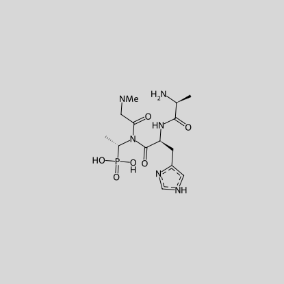 CNCC(=O)N(C(=O)[C@H](Cc1c[nH]cn1)NC(=O)[C@H](C)N)[C@@H](C)P(=O)(O)O